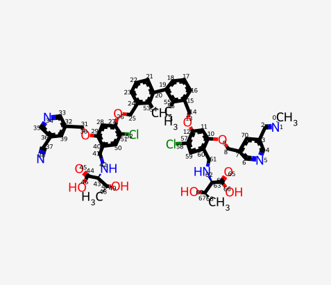 C/N=C/c1cncc(COc2cc(OCc3cccc(-c4cccc(COc5cc(OCc6cncc(C#N)c6)c(CN[C@@H](C(=O)O)[C@@H](C)O)cc5Cl)c4C)c3C)c(Cl)cc2CN[C@@H](C(=O)O)[C@@H](C)O)c1